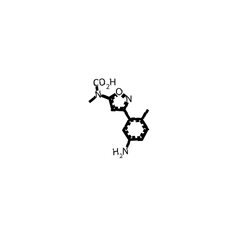 Cc1ccc(N)cc1-c1cc(N(C)C(=O)O)on1